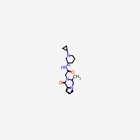 CC1Cn2cccc2C(=O)N1CC(=O)N[C@@H]1CCCN(C2CC2)C1